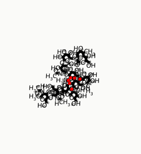 CC(=O)NC1C(O)[C@H](O[C@@H]2OC(CO[C@]3(OC=O)C[C@@H](O)[C@@H](C)C([C@@H](O)[C@H](O)CO)O3)[C@H](O)[C@H](O)C2O)[C@H](CO)O[C@H]1OC1[C@@H](OCC2O[C@@H](O[C@@H]3C(CO)O[C@@H](O[C@@H]4C(CO)O[C@@H](C)C(NC(C)=O)[C@H]4O)C(NC(C)=O)[C@H]3O)C(O)[C@@H](O[C@H]3OC(CO)[C@@H](O)C(O)C3O[C@@H]3OC(CO)[C@@H](O[C@@H]4OC(C)[C@H](O)[C@H](O)C4O)[C@H](O)C3NC(C)=O)[C@@H]2O)OC(CO)[C@@H](O)[C@@H]1O